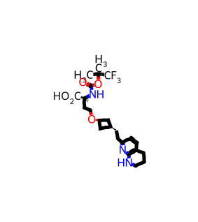 CC(C)(OC(=O)N[C@@H](CCO[C@H]1C[C@H](CCc2ccc3c(n2)NCCC3)C1)C(=O)O)C(F)(F)F